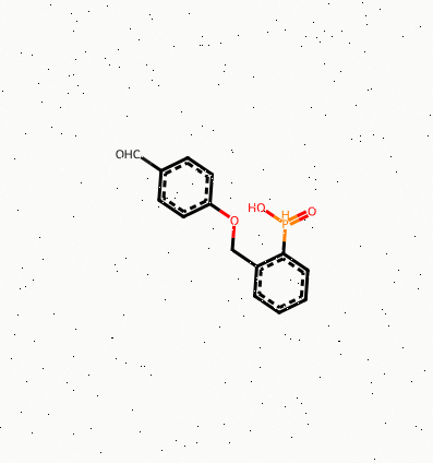 O=Cc1ccc(OCc2ccccc2[PH](=O)O)cc1